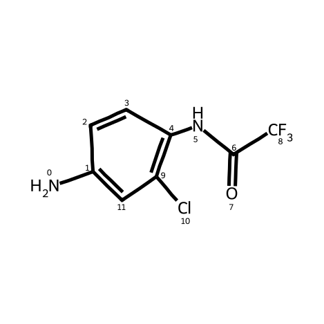 Nc1ccc(NC(=O)C(F)(F)F)c(Cl)c1